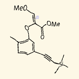 CO/C=C(\Oc1cc(C#C[Si](C)(C)C)ccc1C)C(=O)OC